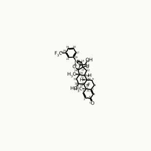 C[C@]12C=CC(=O)C=C1CC[C@H]1[C@@H]3C[C@H]4CN(c5cccc(C(F)(F)F)c5)O[C@@]4(C(=O)CO)[C@@]3(C)C[C@H](O)[C@@]12F